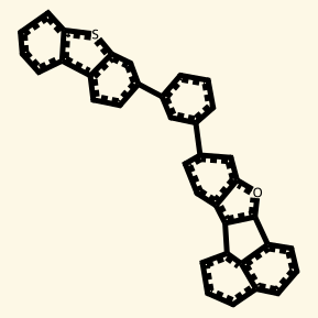 c1cc(-c2ccc3c4c(oc3c2)-c2cccc3cccc-4c23)cc(-c2ccc3c(c2)sc2ccccc23)c1